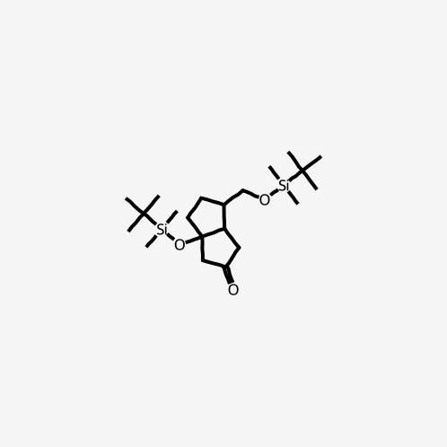 CC(C)(C)[Si](C)(C)OCC1CCC2(O[Si](C)(C)C(C)(C)C)CC(=O)CC12